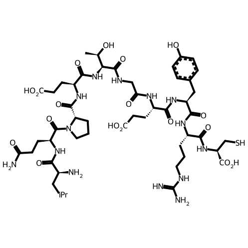 CC(C)C[C@H](N)C(=O)N[C@@H](CCC(N)=O)C(=O)N1CCC[C@H]1C(=O)N[C@@H](CCC(=O)O)C(=O)N[C@H](C(=O)NCC(=O)N[C@@H](CCC(=O)O)C(=O)N[C@@H](Cc1ccc(O)cc1)C(=O)N[C@@H](CCCNC(=N)N)C(=O)N[C@@H](CS)C(=O)O)[C@@H](C)O